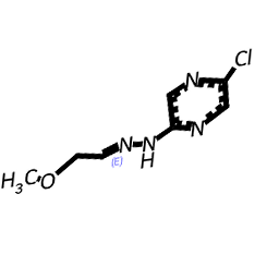 COC/C=N/Nc1cnc(Cl)cn1